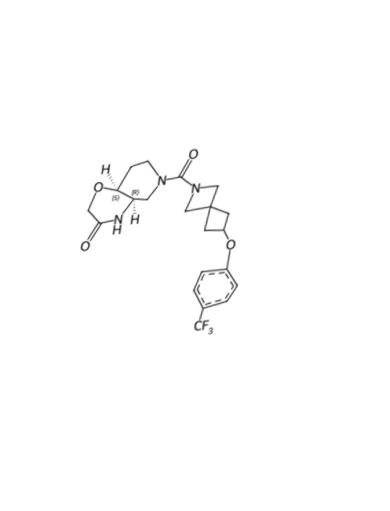 O=C1CO[C@H]2CCN(C(=O)N3CC4(CC(Oc5ccc(C(F)(F)F)cc5)C4)C3)C[C@H]2N1